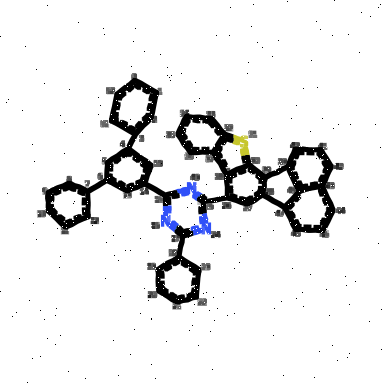 c1ccc(-c2cc(-c3ccccc3)cc(-c3nc(-c4ccccc4)nc(-c4cc5c(c6sc7ccccc7c46)-c4cccc6cccc-5c46)n3)c2)cc1